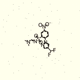 CN(C)C=NS(=O)(=O)c1cc([N+](=O)[O-])ccc1-n1cc(C(F)F)cn1